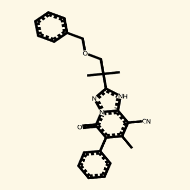 Cc1c(-c2ccccc2)c(=O)n2nc(C(C)(C)COCc3ccccc3)[nH]c2c1C#N